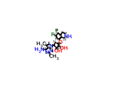 Cc1nc(N)c2c(C)cn([C@@H]3C[C@H](Oc4cc(F)c(F)c5c4CNCC5)[C@@H](O)[C@H]3O)c2n1